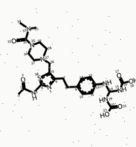 CC(=O)Nc1nc(CCc2ccc(NC(NC(=O)O)NC(=O)O)cc2)c(CN2CCN(C(=O)N(C)C)CC2)s1